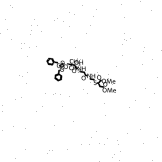 COC(=O)CC(SCCNC(=O)CCNC(=O)[C@H](O)C(C)(C)COP(=O)(OCc1ccccc1)OCc1ccccc1)C(=O)OC